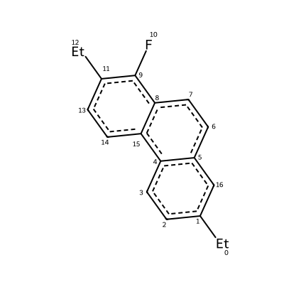 CCc1ccc2c(ccc3c(F)c(CC)ccc32)c1